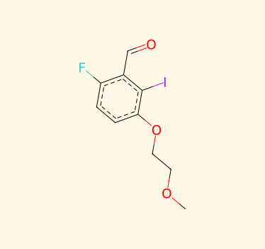 COCCOc1ccc(F)c(C=O)c1I